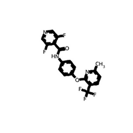 Cc1ccc(C(F)(F)F)c(Oc2ccc(NC(=O)c3c(F)cncc3F)cc2)n1